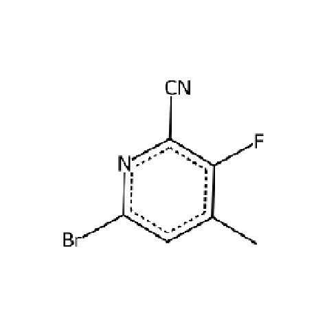 Cc1cc(Br)nc(C#N)c1F